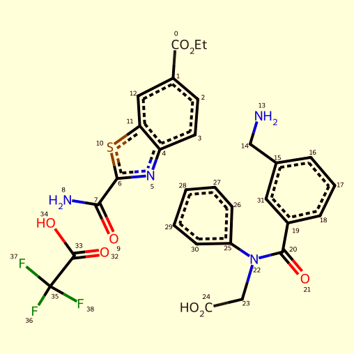 CCOC(=O)c1ccc2nc(C(N)=O)sc2c1.NCc1cccc(C(=O)N(CC(=O)O)c2ccccc2)c1.O=C(O)C(F)(F)F